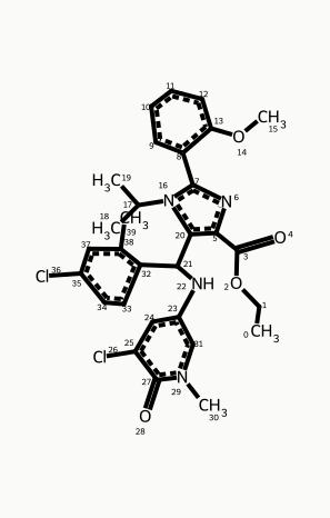 CCOC(=O)c1nc(-c2ccccc2OC)n(C(C)C)c1C(Nc1cc(Cl)c(=O)n(C)c1)c1ccc(Cl)cc1C